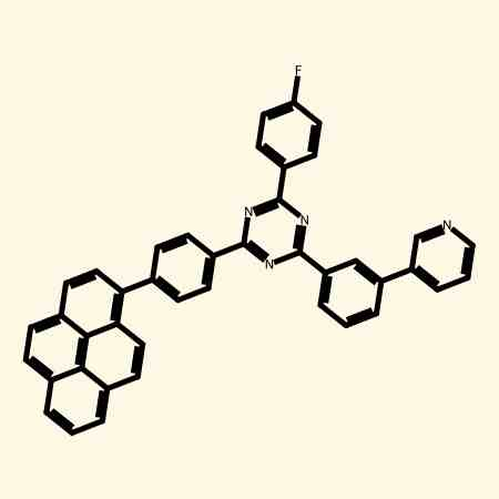 Fc1ccc(-c2nc(-c3ccc(-c4ccc5ccc6cccc7ccc4c5c67)cc3)nc(-c3cccc(-c4cccnc4)c3)n2)cc1